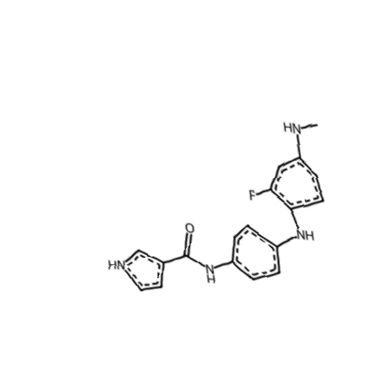 CNc1ccc(Nc2ccc(NC(=O)c3cc[nH]c3)cc2)c(F)c1